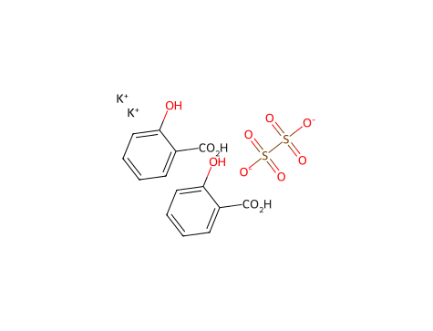 O=C(O)c1ccccc1O.O=C(O)c1ccccc1O.O=S(=O)([O-])S(=O)(=O)[O-].[K+].[K+]